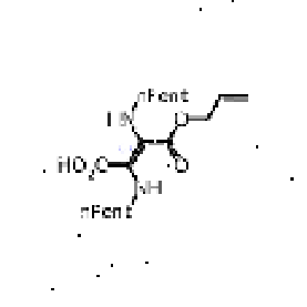 C=CCOC(=O)/C(NCCCCC)=C(\NCCCCC)C(=O)O